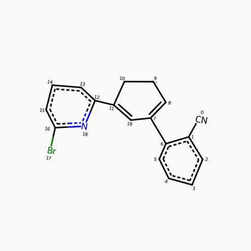 N#Cc1ccccc1C1=C[CH]CC(c2cccc(Br)n2)=C1